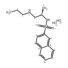 CCCNC[C@@H](C)NS(=O)(=O)c1ccc2cnccc2c1.Cl.Cl